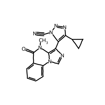 Cn1c(=O)c2ccccc2n2cnc(-c3c(C4CC4)nnn3C#N)c12